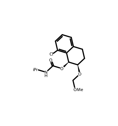 COCO[C@@H]1CCc2cccc(Cl)c2[C@@H]1OC(=O)NC(C)C